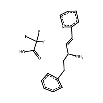 N[C@H](/C=C/c1ccccn1)CCc1ccccc1.O=C(O)C(F)(F)F